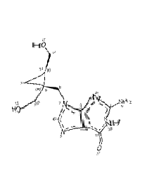 Nc1nc2c(ncn2C[C@@]2(CO)C[C@H]2CO)c(=O)[nH]1